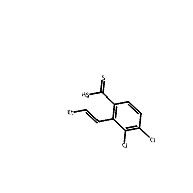 CCC=Cc1c(C(=S)S)ccc(Cl)c1Cl